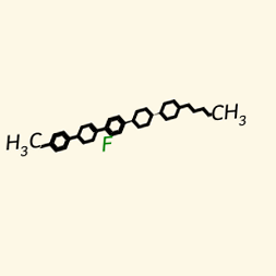 CCCCCC1CCC([C@H]2CC[C@H](c3ccc(C4=CCC(c5ccc(CC)cc5)CC4)c(F)c3)CC2)CC1